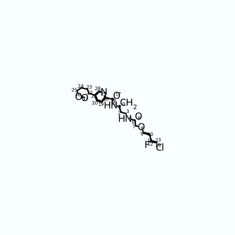 C=C(CCNC(=O)CO/C=C/C(F)=C/Cl)NC(=O)c1ccc(C2CCCOO2)cn1